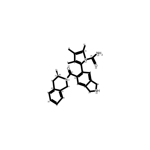 Cc1c(C)c(-c2cc3c(cc2C(=O)N2Cc4ccccc4C[C@H]2C)CNC3)n(C(N)=O)c1C